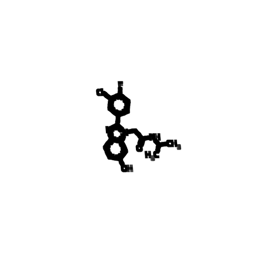 CC(C)NC(=O)Cn1c(-c2ccc(F)c(Cl)c2)nc2ccc(O)cc21